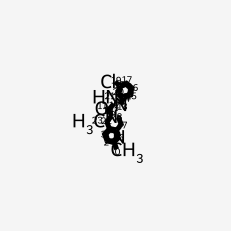 Cc1ccc2c(n1)CCN(C(=O)c1nc3cccc(Cl)c3[nH]1)C2C